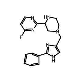 Fc1ccnc(C2CN(Cc3c[nH]c(-c4ccccc4)n3)CCN2)n1